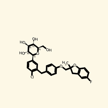 CC1(COc2ccc(Cc3cc([C@@H]4O[C@H](CO)[C@@H](O)[C@H](O)[C@H]4O)ccc3Cl)cc2)Cc2cc(F)ccc2O1